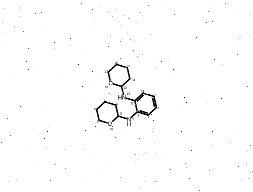 c1ccc(NC2CCCCO2)c(NC2CCCCO2)c1